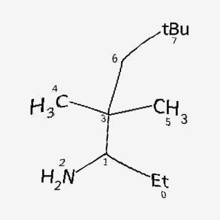 CCC(N)C(C)(C)CC(C)(C)C